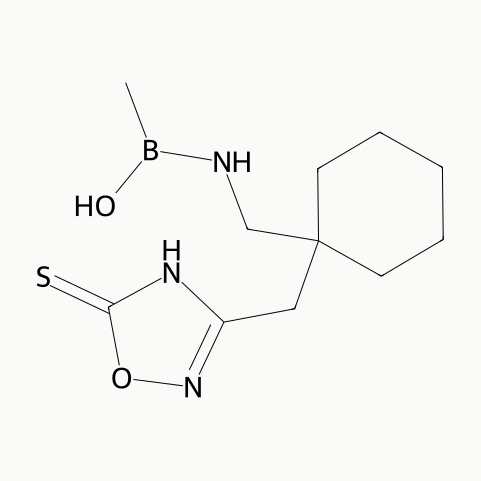 CB(O)NCC1(Cc2noc(=S)[nH]2)CCCCC1